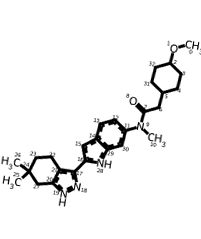 COC1CCC(CC(=O)N(C)c2ccc3cc(-c4n[nH]c5c4CCC(C)(C)C5)[nH]c3c2)CC1